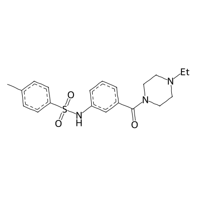 CCN1CCN(C(=O)c2cccc(NS(=O)(=O)c3ccc(C)cc3)c2)CC1